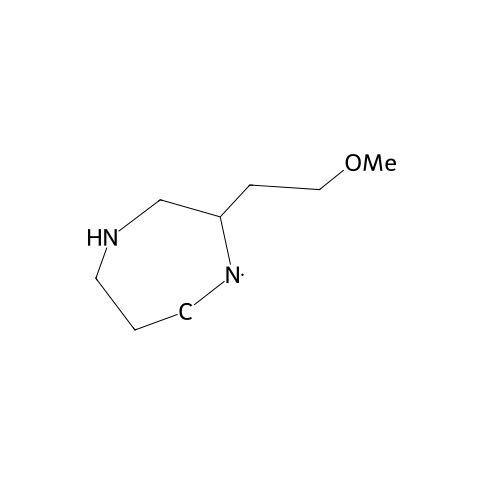 COCCC1CNCCC[N]1